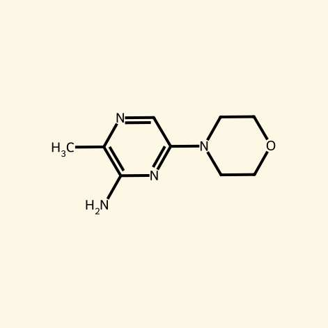 Cc1ncc(N2CCOCC2)nc1N